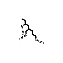 CCC(CC(CCCN=C=O)CN=C=O)N=C=O